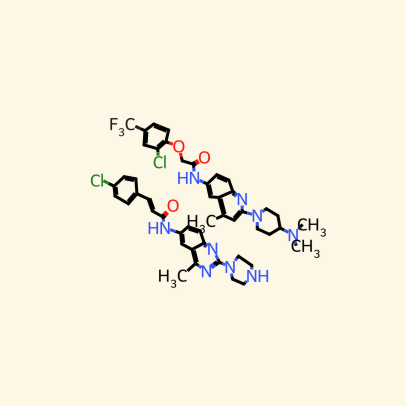 Cc1cc(N2CCC(N(C)C)CC2)nc2ccc(NC(=O)COc3ccc(C(F)(F)F)cc3Cl)cc12.Cc1nc(N2CCNCC2)nc2ccc(NC(=O)C=Cc3ccc(Cl)cc3)cc12